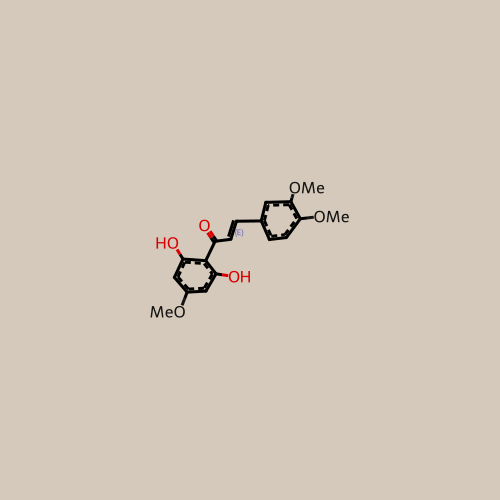 COc1cc(O)c(C(=O)/C=C/c2ccc(OC)c(OC)c2)c(O)c1